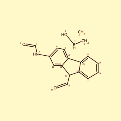 C.CBO.O=CNc1ccc2c(c1)C(C=O)c1ccccc1-2